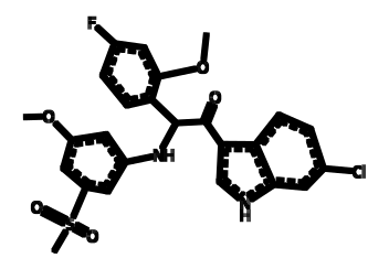 COc1cc(NC(C(=O)c2c[nH]c3cc(Cl)ccc23)c2ccc(F)cc2OC)cc(S(C)(=O)=O)c1